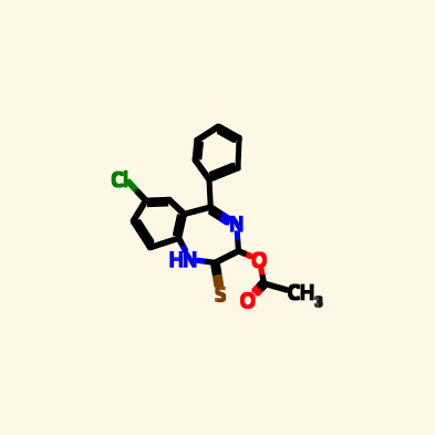 CC(=O)OC1N=C(c2ccccc2)c2cc(Cl)ccc2NC1=S